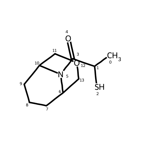 CC(S)C(=O)N1C2CCCC1COC2